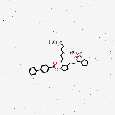 CC(C)(C)[Si](C)(C)O[C@@H](CCC1=CC[C@H](OC(=O)c2ccc(-c3ccccc3)cc2)[C@@H]1CCCCCCC(=O)O)C1CCCC1